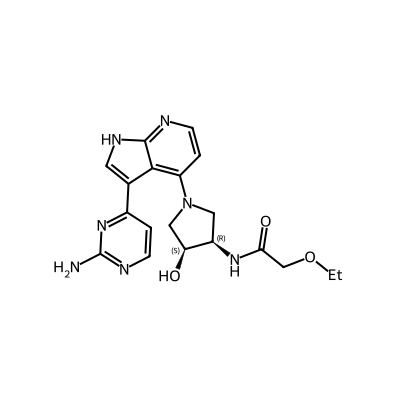 CCOCC(=O)N[C@@H]1CN(c2ccnc3[nH]cc(-c4ccnc(N)n4)c23)C[C@@H]1O